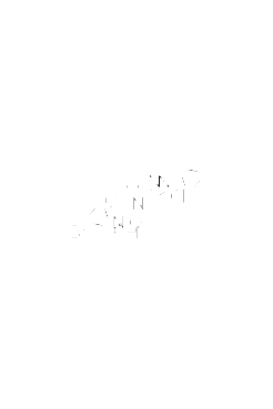 CN1C(=O)[C@@H](N2CCc3c(nn(Cc4ccccc4)c3Cl)C2=O)COc2ccc(Br)cc21